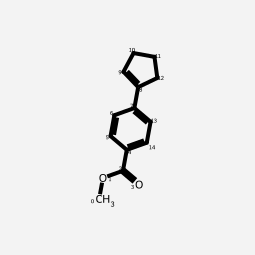 COC(=O)c1ccc(C2=CCCC2)cc1